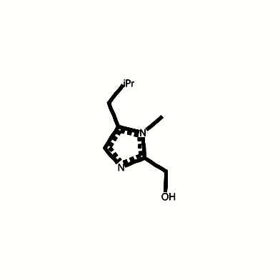 CC(C)Cc1cnc(CO)n1C